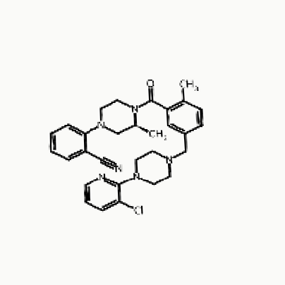 Cc1ccc(CN2CCN(c3ncccc3Cl)CC2)cc1C(=O)N1CCN(c2ccccc2C#N)C[C@@H]1C